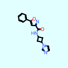 O=C(NC1CC(n2ccnc2)C1)c1cc(-c2ccccc2)on1